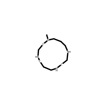 CN1CCCNCCNCCCNCC1